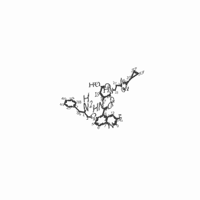 NC(COc1ccc2ncc(F)cc2c1C(=O)NC(CC(=O)O)C(=O)NCCc1nc(C2CC2)no1)Cc1ccccc1